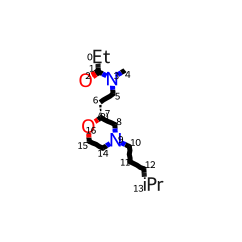 CCC(=O)N(C)CC[C@@H]1CN(CCCC(C)C)CCO1